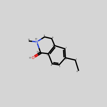 CCc1ccc2c(c1)CCN(C)C2=O